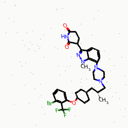 C[C@H](CC1CCC(Oc2cccc(Br)c2C(F)(F)F)CC1)CN1CCN(c2cccc3c(C4CCC(=O)NC4=O)nn(C)c23)CC1